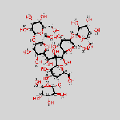 OC[C@@H]1O[C@H](O[C@@H]2[C@@H](O)[C@H](O)C(C(O)C(O)(C(O)C3O[C@@H](CO)[C@H](O[C@H]4O[C@@H](CO)[C@@H](O)[C@@H](O)[C@@H]4O)[C@@H](O)[C@@H]3O)C3O[C@@H](CO)[C@H](O[C@H]4O[C@@H](CO)[C@@H](O)[C@@H](O)[C@@H]4O)[C@@H](O)[C@@H]3O)O[C@H]2CO)[C@@H](O)[C@H](O)[C@@H]1O